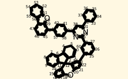 C1=CC2=C(CC1)c1ccccc1C21c2ccccc2Oc2ccc(-c3cccc(-c4nc(-c5ccccc5)cc(-c5ccc(-c6cccc7c6oc6ccccc67)cc5)n4)c3)cc21